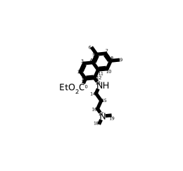 CCOC(=O)c1ccc2c(C)cc(C)cc2c1NCCCN(C)C